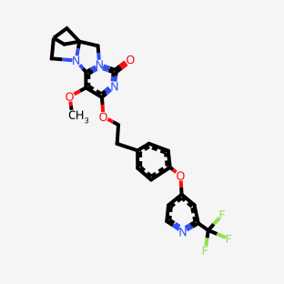 COc1c(OCCc2ccc(Oc3ccnc(C(F)(F)F)c3)cc2)nc(=O)n2c1N1CC3CC1(C3)C2